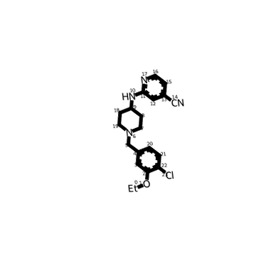 CCOc1cc(CN2CCC(Nc3cc(C#N)ccn3)CC2)ccc1Cl